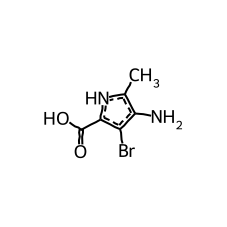 Cc1[nH]c(C(=O)O)c(Br)c1N